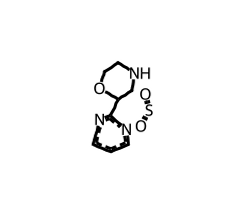 O=S=O.c1cnc(C2CNCCO2)nc1